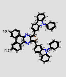 N#Cc1ccc2c(c1)c1cc(C#N)ccc1c1nc3c(-c4ccc5c6ccccc6n(-c6ccccc6)c5c4)sc(-c4ccc5c6ccccc6n(-c6ccccc6)c5c4)c3nc21